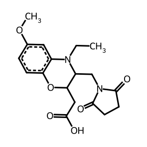 CCN1c2cc(OC)ccc2OC(CC(=O)O)C1CN1C(=O)CCC1=O